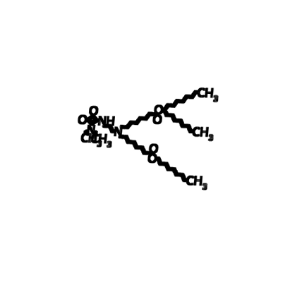 CCCCCCCCCOC(=O)CCCCCCCN(CCCCCCCC(=O)OC(CCCCCCCC)CCCCCCCC)CCCNc1c(N(CC)CC)c(=O)c1=O